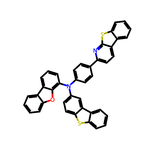 c1ccc2c(c1)oc1c(N(c3ccc(-c4ccc5c(n4)sc4ccccc45)cc3)c3ccc4sc5ccccc5c4c3)cccc12